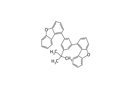 CC(C)(C)c1cc(-c2cccc3oc4ccccc4c23)cc(-c2cccc3oc4ccccc4c23)c1